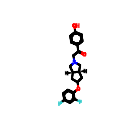 O=C(CN1C[C@H]2CC(Oc3ccc(F)cc3F)C[C@H]2C1)c1ccc(O)cc1